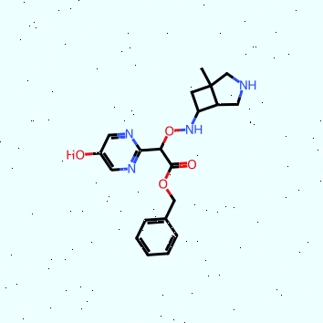 CC12CNCC1C(NOC(C(=O)OCc1ccccc1)c1ncc(O)cn1)C2